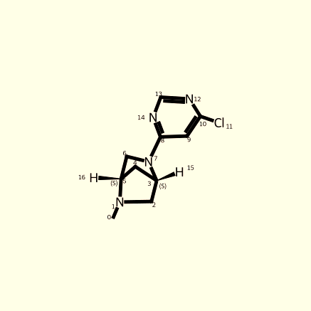 CN1C[C@@H]2C[C@H]1CN2c1cc(Cl)ncn1